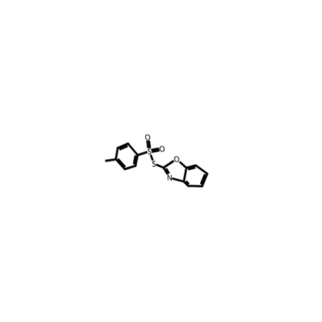 Cc1ccc(S(=O)(=O)Sc2nc3ccccc3o2)cc1